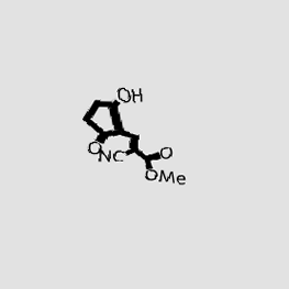 COC(=O)/C(C#N)=C/C1=C(O)CCC1=O